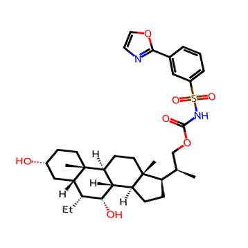 CC[C@H]1[C@@H](O)[C@@H]2[C@H](CC[C@]3(C)[C@@H]([C@H](C)COC(=O)NS(=O)(=O)c4cccc(-c5ncco5)c4)CC[C@@H]23)[C@@]2(C)CC[C@@H](O)C[C@@H]12